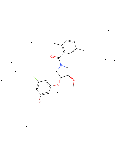 CO[C@@H]1CN(C(=O)c2cc(C)ccc2C)C[C@H]1Oc1cc(F)cc(Br)c1